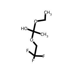 CCOC(C)(O)OCC(F)(F)F